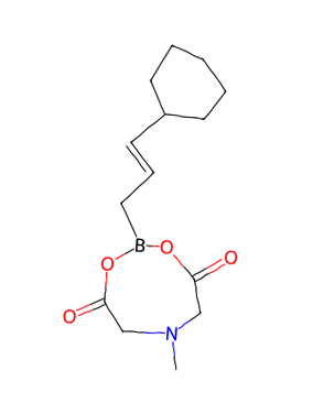 CN1CC(=O)OB(CC=CC2CCCCC2)OC(=O)C1